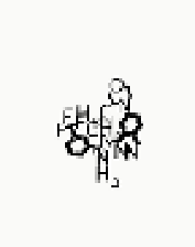 Cc1c([C@@H](N)Nc2nncc3ccc(N4CCOCC4C)cc23)cccc1C(F)(F)F